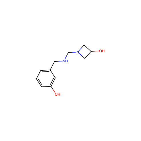 Oc1cccc(CNCN2CC(O)C2)c1